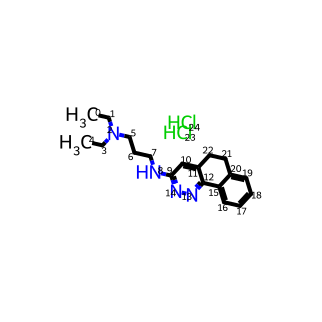 CCN(CC)CCCNc1cc2c(nn1)-c1ccccc1CC2.Cl.Cl